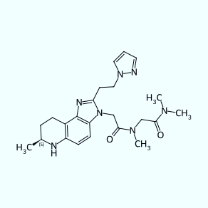 C[C@H]1CCc2c(ccc3c2nc(CCn2cccn2)n3CC(=O)N(C)CC(=O)N(C)C)N1